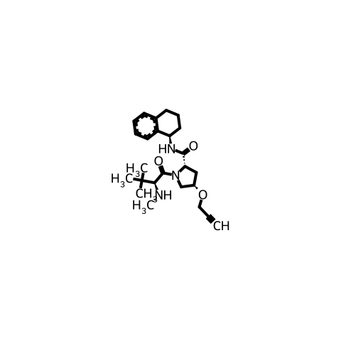 C#CCO[C@H]1C[C@@H](C(=O)N[C@@H]2CCCc3ccccc32)N(C(=O)[C@@H](NC)C(C)(C)C)C1